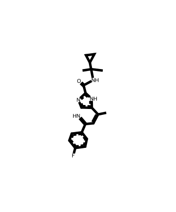 C/C(=C/C(=N)c1ccc(F)cc1)c1cnc(C(=O)NC(C)(C)C2CC2)[nH]1